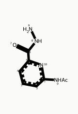 CC(=O)Nc1cccc(C(=O)NN)n1